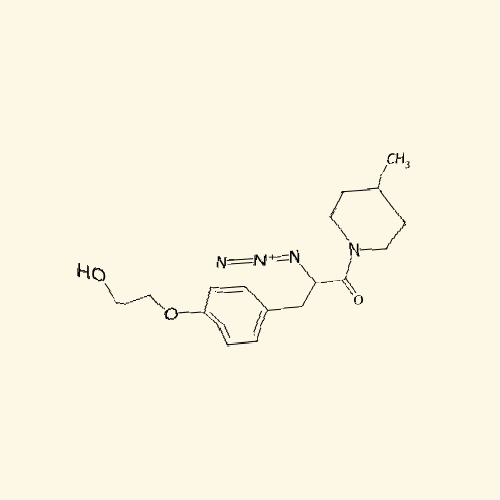 CC1CCN(C(=O)C(Cc2ccc(OCCO)cc2)N=[N+]=[N-])CC1